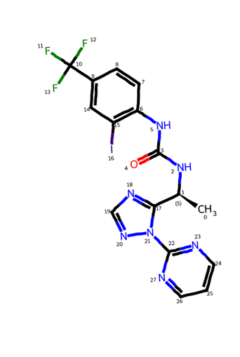 C[C@H](NC(=O)Nc1ccc(C(F)(F)F)cc1I)c1ncnn1-c1ncccn1